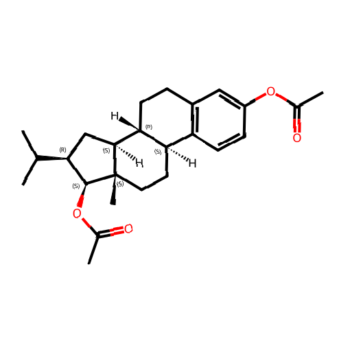 CC(=O)Oc1ccc2c(c1)CC[C@@H]1[C@@H]2CC[C@@]2(C)[C@H]1C[C@H](C(C)C)[C@@H]2OC(C)=O